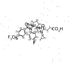 O=C(O)CCC(=O)N(C1CC1)C1c2cc(F)ccc2N(C(=O)c2ccc(SC(F)(F)F)cc2)[C@@H]2CCC[C@H]12